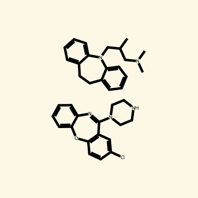 CC(CN(C)C)CN1c2ccccc2CCc2ccccc21.Clc1ccc2c(c1)C(N1CCNCC1)=Nc1ccccc1O2